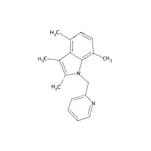 Cc1ccc(C)c2c1c(C)c(C)n2Cc1ccccn1